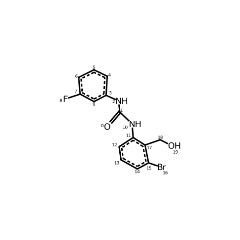 O=C(Nc1cccc(F)c1)Nc1cccc(Br)c1CO